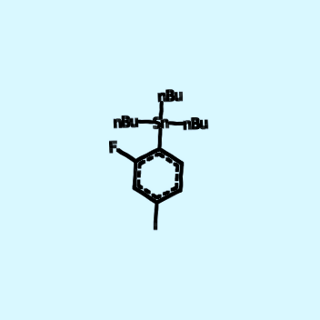 CCC[CH2][Sn]([CH2]CCC)([CH2]CCC)[c]1ccc(C)cc1F